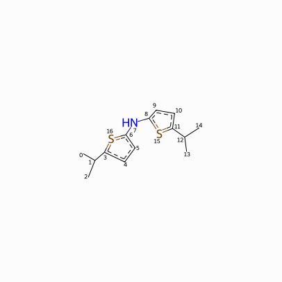 CC(C)c1ccc(Nc2ccc(C(C)C)s2)s1